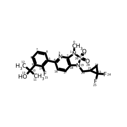 CN1c2nc(-c3cccc(C(C)(C)O)c3F)ccc2N(CC2CC2(F)F)S1(=O)=O